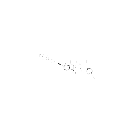 CC1(C)[C@H](Oc2ccc(C#N)c(Cl)c2)C(C)(C)[C@H]1N1Cc2nc(C#C[C@H]3C[C@H](N4CCNCC4)C3)ccc2C1=O